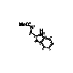 CON=Cc1cc2ccccc2[nH]1